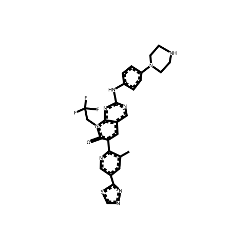 Cc1cc(-c2nncs2)cnc1-c1cc2cnc(Nc3ccc(N4CCNCC4)cc3)nc2n(CC(F)(F)F)c1=O